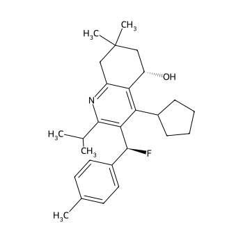 Cc1ccc([C@H](F)c2c(C(C)C)nc3c(c2C2CCCC2)[C@@H](O)CC(C)(C)C3)cc1